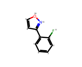 Fc1ccccc1-c1c[c]on1